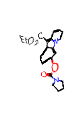 CCOC(=O)c1c2ccc(OC(=O)N3CCCC3)cc2n2ccccc12